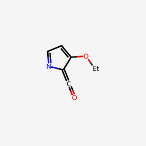 CCOC1=CC=NC1=C=O